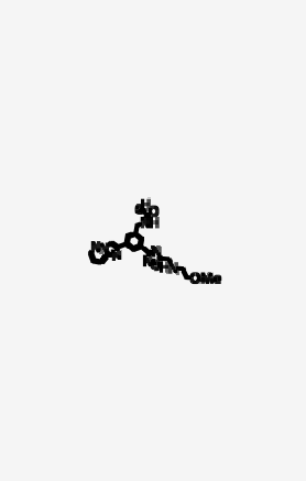 COCCNCc1nc(-c2cc(CN[SH](=O)=O)cc(-c3cn4ncccc4n3)c2)no1